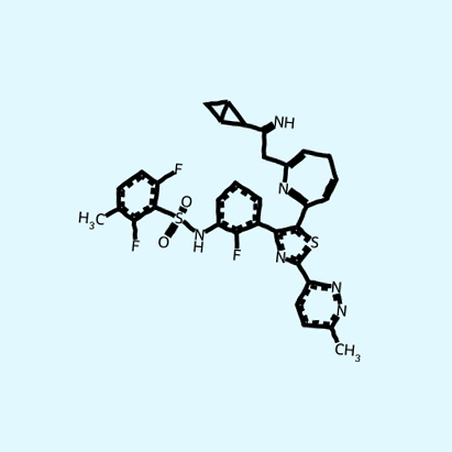 Cc1ccc(-c2nc(-c3cccc(NS(=O)(=O)c4c(F)ccc(C)c4F)c3F)c(C3=NC(CC(=N)C4C5CC54)=CCC=C3)s2)nn1